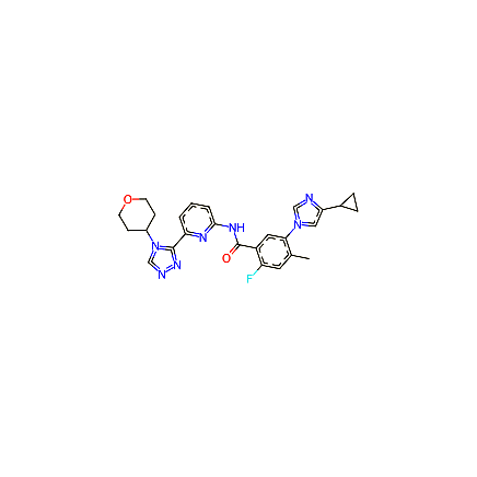 Cc1cc(F)c(C(=O)Nc2cccc(-c3nncn3C3CCOCC3)n2)cc1-n1cnc(C2CC2)c1